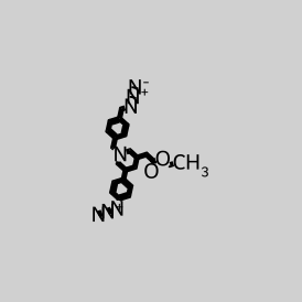 CCOC(=O)CC1CC(c2ccc(N=[N+]=[N-])cc2)CN(Cc2ccc(CN=[N+]=[N-])cc2)C1